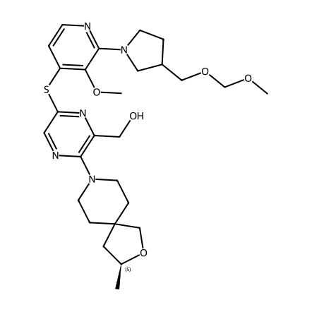 COCOCC1CCN(c2nccc(Sc3cnc(N4CCC5(CC4)CO[C@@H](C)C5)c(CO)n3)c2OC)C1